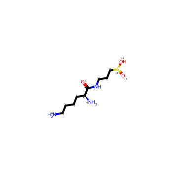 NCCCC[C@H](N)C(=O)NCCCS(=O)O